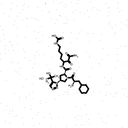 CC(C)(O)c1cnnn1[C@H]1C[C@@H](C(=O)NC(CCCCNC(=O)O)C(=O)C(N)=O)N(C(=O)[C@H](N)CC2CCCCC2)C1.Cl